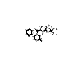 C[C@H](NC(=O)OC(C)(C)C)C(=O)N1CC(=O)OC[C@@H]1c1ccccc1